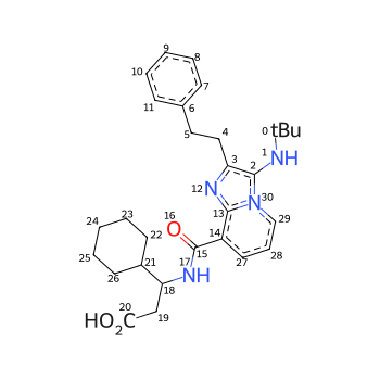 CC(C)(C)Nc1c(CCc2ccccc2)nc2c(C(=O)NC(CC(=O)O)C3CCCCC3)cccn12